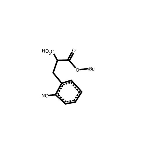 CCC(C)OC(=O)C(Cc1ccccc1C#N)C(=O)O